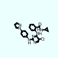 O=C(NC1CC1)c1ccccc1Nc1nc(Nc2ccc(-n3cccn3)cc2)ncc1Cl